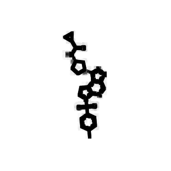 Cc1ccc(S(=O)(=O)n2ccc3c2ncc2nnc([C@@H]4CC[C@H](NC(=O)C5CC5)C4)n23)cc1